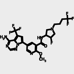 COc1ncc(-c2cc(C(F)(F)F)c3c(N)ncnn23)cc1C(=O)NC1CN(CCCC(F)(F)F)CC1F